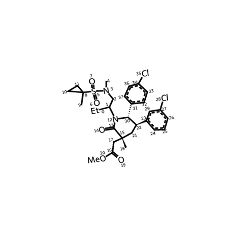 CCC(CN(C)S(=O)(=O)C1(C)CC1)N1C(=O)[C@@](C)(CC(=O)OC)C[C@H](c2cccc(Cl)c2)[C@H]1c1ccc(Cl)cc1